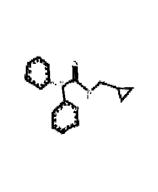 O=C(NCC1CC1)[C@@H](c1ccccc1)c1ccccn1